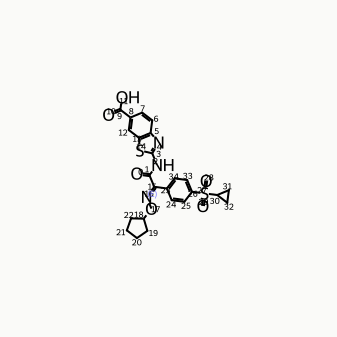 O=C(Nc1nc2ccc(C(=O)O)cc2s1)/C(=N/OC1CCCC1)c1ccc(S(=O)(=O)C2CC2)cc1